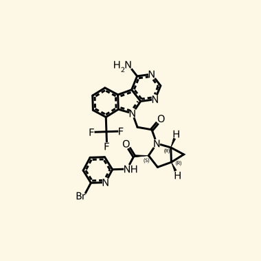 Nc1ncnc2c1c1cccc(C(F)(F)F)c1n2CC(=O)N1[C@@H]2C[C@@H]2C[C@H]1C(=O)Nc1cccc(Br)n1